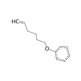 [CH]=CCCCCOc1ccccc1